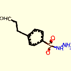 NNS(=O)(=O)c1ccc(CC[C]=O)cc1